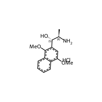 COc1cc([C@H](O)[C@@H](C)N)c(OC)c2ccccc12.Cl